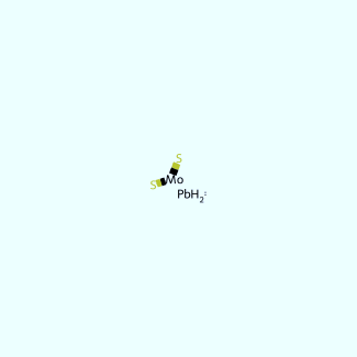 [PbH2].[S]=[Mo]=[S]